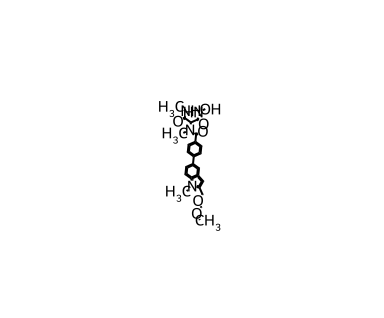 CNC(=O)C(C(=O)NO)N(C)C(=O)c1ccc(-c2ccc3c(c2)cc(COCOC)n3C)cc1